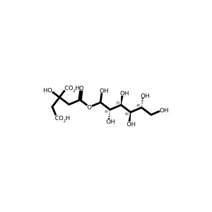 O=C(O)CC(O)(CC(=O)OC(O)[C@@H](O)[C@@H](O)[C@H](O)[C@H](O)CO)C(=O)O